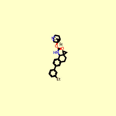 CCc1cccc(-c2ccc3c(c2)CCC2(CC2)C3NC(=O)O[C@H]2CN3CCC2CC3)c1